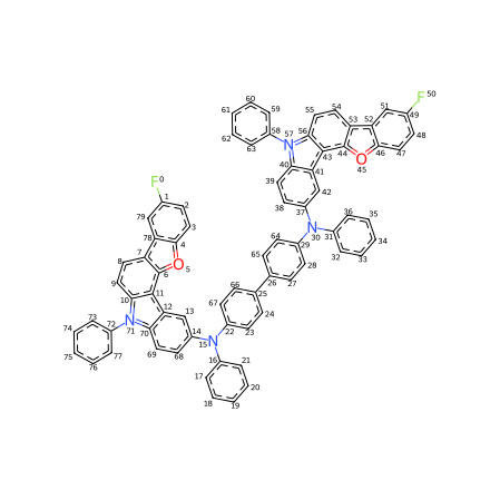 Fc1ccc2oc3c(ccc4c3c3cc(N(c5ccccc5)c5ccc(-c6ccc(N(c7ccccc7)c7ccc8c(c7)c7c9oc%10ccc(F)cc%10c9ccc7n8-c7ccccc7)cc6)cc5)ccc3n4-c3ccccc3)c2c1